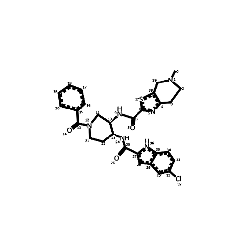 CN1CCc2nc(C(=O)N[C@@H]3CN(C(=O)c4ccccc4)CC[C@@H]3NC(=O)c3cc4cc(Cl)ccc4[nH]3)sc2C1